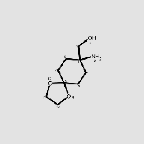 NC1(CO)CCC2(CC1)OCCO2